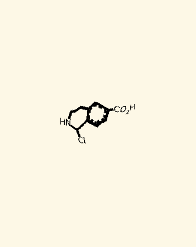 O=C(O)c1ccc2c(c1)CCNC2Cl